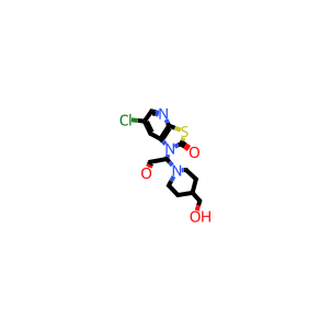 O=CC(N1CCC(CO)CC1)n1c(=O)sc2ncc(Cl)cc21